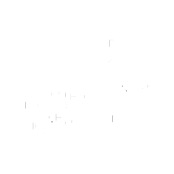 CC(C)C1CC(=O)N(c2ccc(F)cc2)C1/C=C/C(O)C[C@H](CC(=O)O)O[Si](C)(C)C(C)(C)C